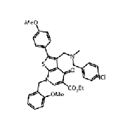 CCOC(=O)c1cn(Cc2ccccc2OC)c2sc(-c3ccc(OC)cc3)c(CN(C)Cc3ccccc3)c2c1=O.Cl